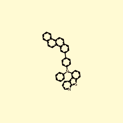 c1ccc(N(c2ccc(-c3ccc4ccc5c6ccccc6ccc5c4c3)cc2)c2cccc3sc4ncccc4c23)cc1